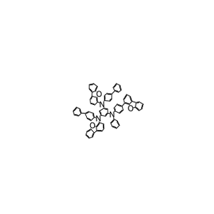 c1ccc(-c2ccc(N(c3cc(N(c4ccccc4)c4ccc(-c5cccc6c5oc5ccccc56)cc4)cc(N(c4ccc(-c5ccccc5)cc4)c4cccc5c4oc4ccccc45)c3)c3cccc4c3oc3ccccc34)cc2)cc1